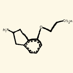 NC1Cc2cccc(OCCC(=O)O)c2C1